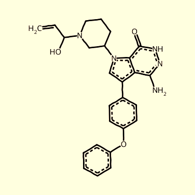 C=CC(O)N1CCCC(n2cc(-c3ccc(Oc4ccccc4)cc3)c3c(N)n[nH]c(=O)c32)C1